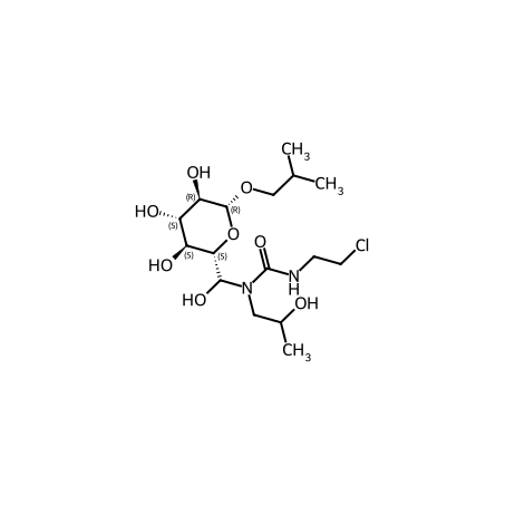 CC(C)CO[C@@H]1O[C@H](C(O)N(CC(C)O)C(=O)NCCCl)[C@@H](O)[C@H](O)[C@H]1O